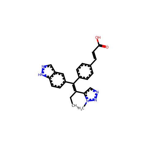 CC/C(=C(/c1ccc(/C=C/C(=O)O)cc1)c1ccc2[nH]ncc2c1)c1cnnn1C